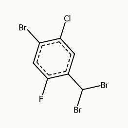 Fc1cc(Br)c(Cl)cc1C(Br)Br